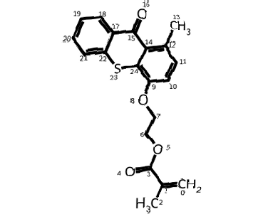 C=C(C)C(=O)OCCOc1ccc(C)c2c(=O)c3ccccc3sc12